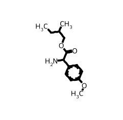 CCC(C)COC(=O)C(N)c1ccc(OC)cc1